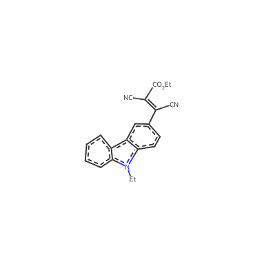 CCOC(=O)C(C#N)=C(C#N)c1ccc2c(c1)c1ccccc1n2CC